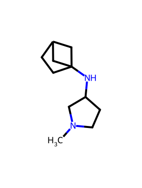 CN1CCC(NC23CCC(C2)C3)C1